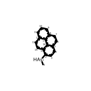 C[AsH]c1ccc2ccc3cccc4ccc1c2c34